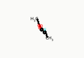 CCCCCCOC(=O)Oc1ccc(-c2ccc(CCCC)cc2F)cc1